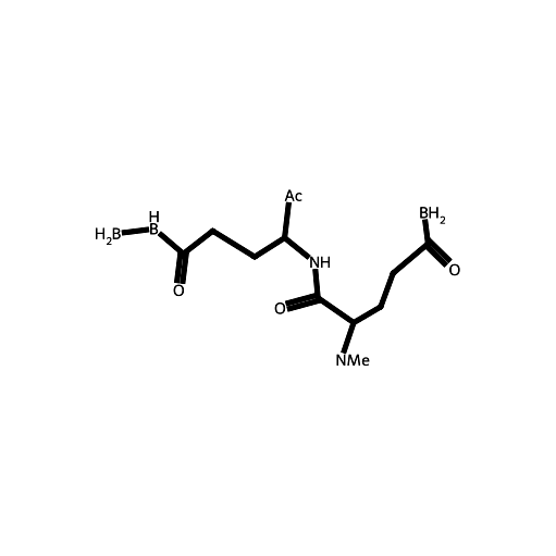 BBC(=O)CCC(NC(=O)C(CCC(B)=O)NC)C(C)=O